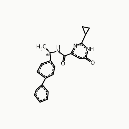 C[C@@H](NC(=O)c1cc(=O)[nH]c(C2CC2)n1)c1ccc(-c2ccccc2)cc1